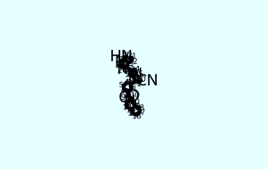 N#CCC(c1cccc(S(=O)(=O)N2CCc3ccccc3C2)c1)n1cc(-c2ncnc3[nH]ccc23)cn1